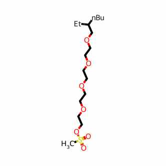 CCCCC(CC)COCCOCCOCCOCCOS(C)(=O)=O